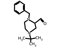 CC(C)(C)N1CCN(Cc2ccccc2)C(C=O)C1